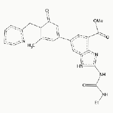 CCNC(=O)Nc1nc2c(C(=O)OC)cc(C3=CC(=O)C(Cc4ccccn4)C(C)=C3)cc2[nH]1